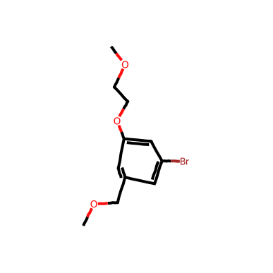 COCCOc1cc(Br)cc(COC)c1